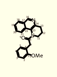 COc1ccccc1CC(=O)N1CCCc2ncc3ccccc3c21